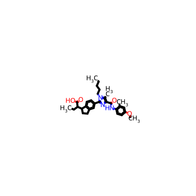 CCCCCn1c(-c2ccc3c(c2)CCC3C(CC)C(=O)O)nc(C(=O)Nc2ccc(OC)cc2C)c1C